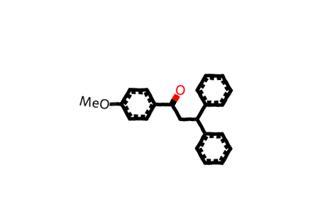 COc1ccc(C(=O)CC(c2ccccc2)c2ccccc2)cc1